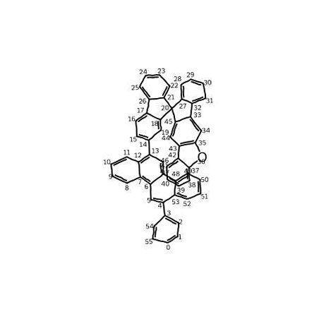 c1ccc(-c2cc3c4ccccc4c(-c4ccc5c(c4)C4(c6ccccc6-5)c5ccccc5-c5cc6oc7ccccc7c6cc54)cc3c3ccccc23)cc1